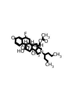 CCCC(CCC)N1C[C@@H]2C[C@H]3[C@@H]4C[C@H](F)C5=CC(=O)C=C[C@]5(C)[C@@]4(F)[C@@H](O)C[C@]3(C)[C@]2(C(=O)COC(C)=O)C1